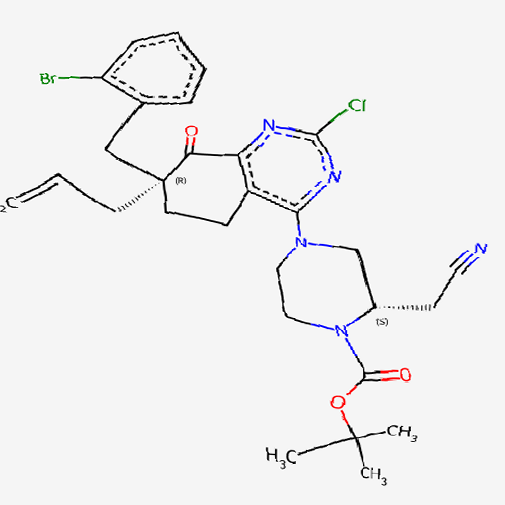 C=CC[C@@]1(Cc2ccccc2Br)CCc2c(nc(Cl)nc2N2CCN(C(=O)OC(C)(C)C)[C@@H](CC#N)C2)C1=O